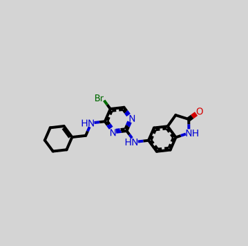 O=C1Cc2cc(Nc3ncc(Br)c(NCC4=CCCCC4)n3)ccc2N1